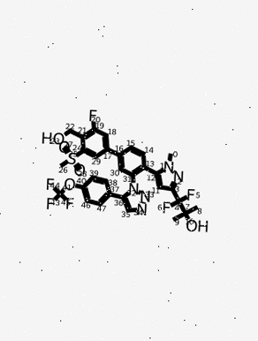 Cn1nc(C(F)(F)C(C)(C)O)cc1-c1ccc(-c2cc(F)c(CO)c(S(C)(=O)=O)c2)cc1-n1nncc1-c1ccc(OC(F)(F)F)cc1